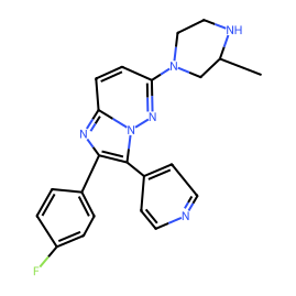 CC1CN(c2ccc3nc(-c4ccc(F)cc4)c(-c4ccncc4)n3n2)CCN1